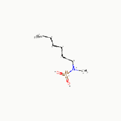 CCCCCCCCCCCN(C)[SH](=O)=O